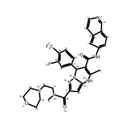 CC1=C(C(=O)Nc2ccc3cnccc3c2)C(c2ccc(C(F)(F)F)c(F)c2)n2nc(C(=O)N(C)CCN3CCOCC3)cc2N1